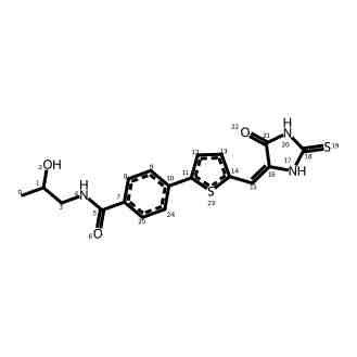 CC(O)CNC(=O)c1ccc(-c2ccc(/C=C3/NC(=S)NC3=O)s2)cc1